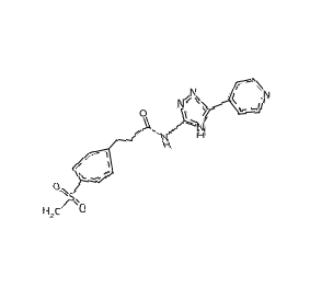 CS(=O)(=O)c1ccc(CCC(=O)Nc2nnc(-c3ccncc3)[nH]2)cc1